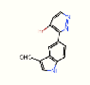 O=Cc1c[nH]c2ccc(-c3nnccc3Br)cc12